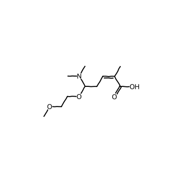 COCCOC(CC=C(C)C(=O)O)N(C)C